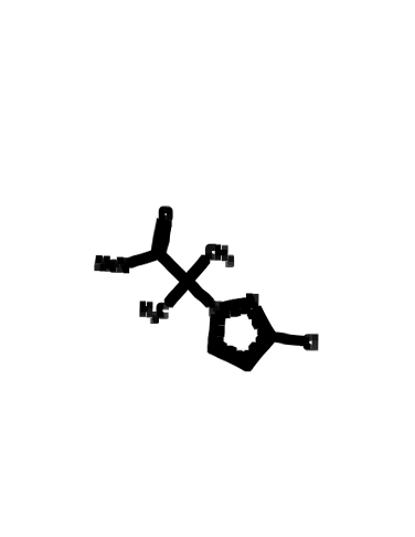 CNC(=O)C(C)(C)n1ccc(Cl)n1